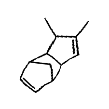 CC1=CC2C3C=CC(C3)C2C1C